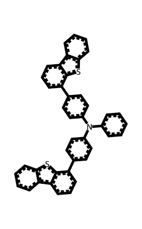 c1ccc(N(c2ccc(-c3cccc4c3sc3ccccc34)cc2)c2ccc(-c3cccc4c3sc3ccccc34)cc2)cc1